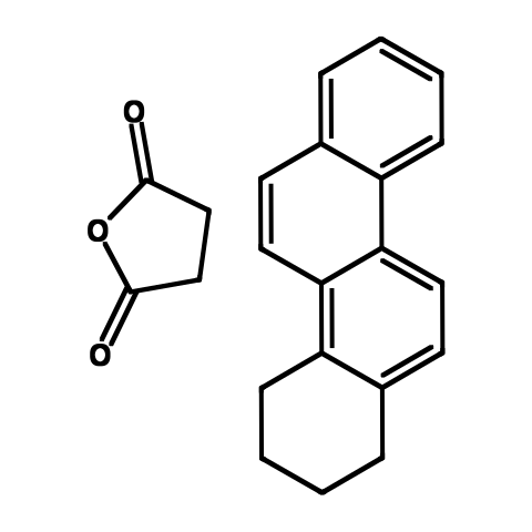 O=C1CCC(=O)O1.c1ccc2c(c1)ccc1c3c(ccc12)CCCC3